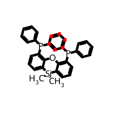 C[Si]1(C)c2cccc(P(c3ccccc3)c3ccccc3)c2Oc2c(P(c3ccccc3)c3ccccc3)cccc21